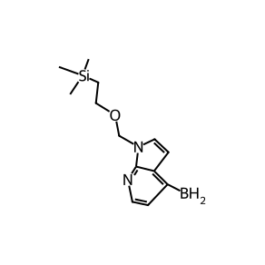 Bc1ccnc2c1ccn2COCC[Si](C)(C)C